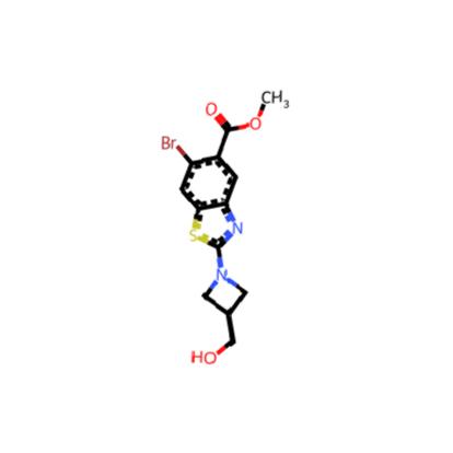 COC(=O)c1cc2nc(N3CC(CO)C3)sc2cc1Br